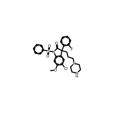 COc1cc2c(cc1Cl)C(CCCN1CCNCC1)(c1ccccc1F)C(=O)N2S(=O)(=O)c1ccccc1